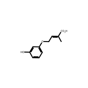 CC(=CCOc1cccc(O)c1)C(=O)O